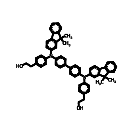 CC1(C)c2ccccc2-c2ccc(N(c3ccc(CCO)cc3)c3ccc(-c4ccc(N(c5ccc(CCO)cc5)c5ccc6c(c5)C(C)(C)c5ccccc5-6)cc4)cc3)cc21